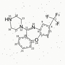 FC(F)(F)c1ccc2c(c1)N=C(N1CCNCC1)c1ccccc1O2